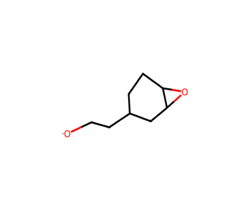 [O]CCC1CCC2OC2C1